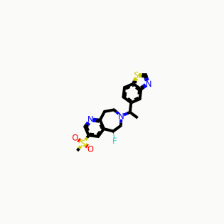 CC(c1ccc2scnc2c1)N1CCc2ncc(S(C)(=O)=O)cc2[C@@H](F)C1